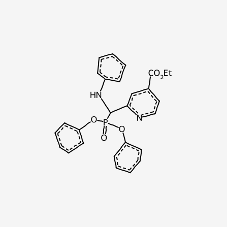 CCOC(=O)c1ccnc(C(Nc2ccccc2)P(=O)(Oc2ccccc2)Oc2ccccc2)c1